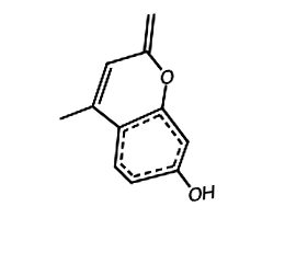 C=C1C=C(C)c2ccc(O)cc2O1